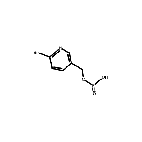 O=[PH](O)OCc1ccc(Br)nc1